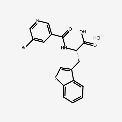 Cl.O=C(N[C@@H](Cc1csc2ccccc12)C(=O)O)c1cncc(Br)c1